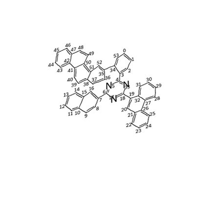 c1ccc(-c2nc(-c3ccc4ccccc4c3)nc(-c3cc4ccccc4c4ccccc34)n2)c(-c2ccc3ccc4c5ccccc5ccc4c3c2)c1